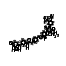 CC1(C)C(=O)N(c2ccc(C#N)c(C(F)(F)F)c2)C(=S)N1c1ccc(OCC2CCN(CC(=O)Nc3cccc(NC4CCC(=O)NC4=O)c3)CC2)c(F)c1